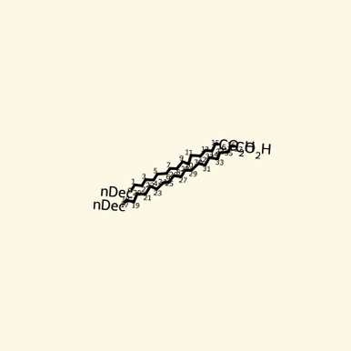 CCCCCCCCCCCCCCCCCCCCCCCCCC(=O)O.CCCCCCCCCCCCCCCCCCCCCCCCCCCCCC(=O)O